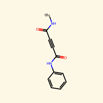 CC(C)(C)NC(=O)C#CC(=O)Nc1ccccc1